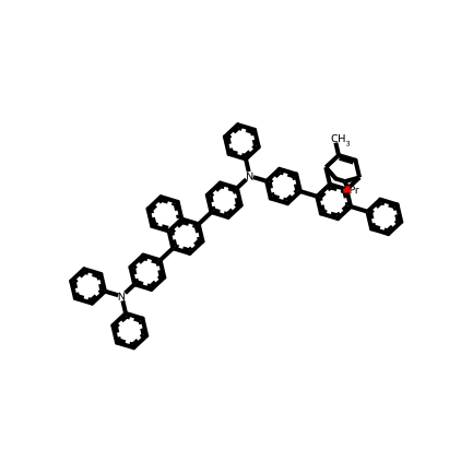 CC1=CC2c3c(-c4ccccc4)ccc(-c4ccc(N(c5ccccc5)c5ccc(-c6ccc(-c7ccc(N(c8ccccc8)c8ccccc8)cc7)c7ccccc67)cc5)cc4)c3C1CC2C(C)C